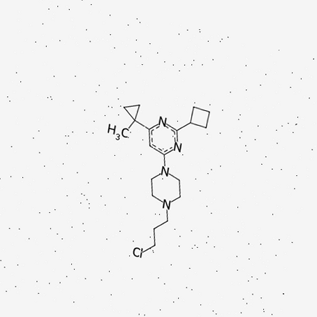 CC1(c2cc(N3CCN(CCCCl)CC3)nc(C3CCC3)n2)CC1